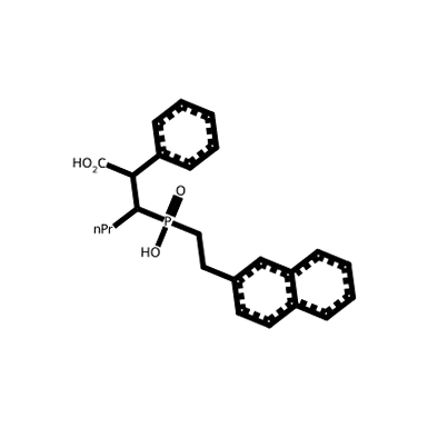 CCCC(C(C(=O)O)c1ccccc1)P(=O)(O)CCc1ccc2ccccc2c1